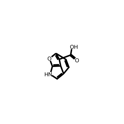 O=C(O)c1c2ccc3c[nH]c(o2)c13